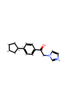 O=C(Cn1ccnc1)c1ccc(C2CCCC2)cc1